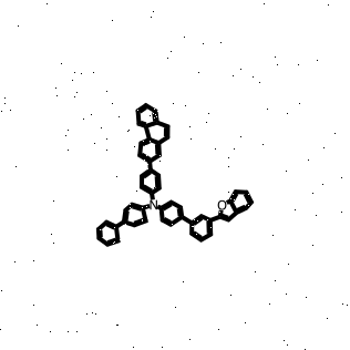 c1ccc(-c2ccc(N(c3ccc(-c4cccc(-c5cc6ccccc6o5)c4)cc3)c3ccc(-c4ccc5c(ccc6ccccc65)c4)cc3)cc2)cc1